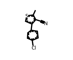 Cc1scc(-c2ccc(Cl)cc2)c1C#N